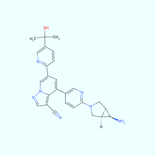 CC(C)(O)c1ccc(-c2cc(-c3ccc(N4CC5[C@@H](N)[C@H]5C4)nc3)c3c(C#N)cnn3c2)nc1